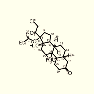 CCC(=O)O[C@@]1(C(=O)CCl)CC[C@H]2[C@@H]3CC[C@@H]4CC(=O)CC[C@]4(C)C34OC4C[C@@]21C